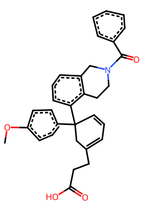 COc1ccc(C2(c3cccc4c3CCN(C(=O)c3ccccc3)C4)C=CC=C(CCC(=O)O)C2)cc1